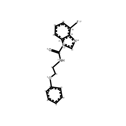 O=C(NCCOc1ccccc1)n1cnc2c(F)cccc21